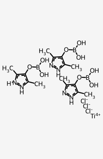 Cc1n[nH]c(C)c1OB(O)O.Cc1n[nH]c(C)c1OB(O)O.Cc1n[nH]c(C)c1OB(O)O.[Cl-].[Cl-].[Cl-].[H+].[Ti+4]